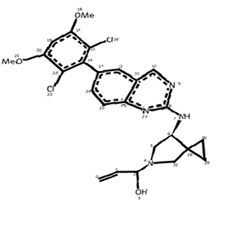 C=CC(O)N1C[C@@H](Nc2ncc3cc(-c4c(Cl)c(OC)cc(OC)c4Cl)ccc3n2)C2(CC2)C1